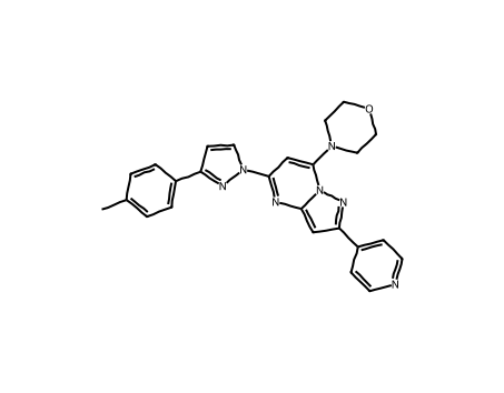 Cc1ccc(-c2ccn(-c3cc(N4CCOCC4)n4nc(-c5ccncc5)cc4n3)n2)cc1